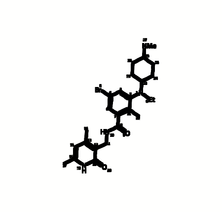 CCN(c1cc(Br)cc(C(=O)NCc2c(C)cc(C)[nH]c2=O)c1C)C1CCC(NC)CC1